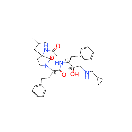 CC(=O)NC1(CC(C)C)CCN([C@@H](CCc2ccccc2)C(=O)N[C@@H](Cc2ccccc2)[C@H](O)CNCC2CC2)C1=O